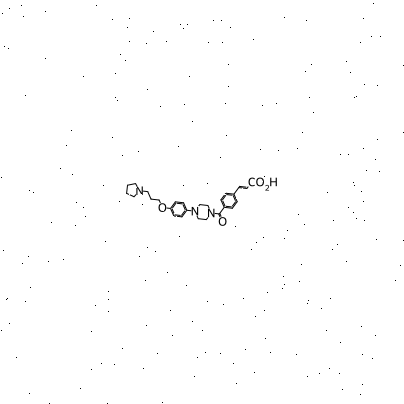 O=C(O)/C=C/c1ccc(C(=O)N2CCN(c3ccc(OCCCN4CCCC4)cc3)CC2)cc1